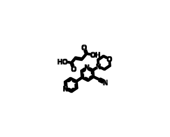 N#Cc1cc(-c2ccncc2)cnc1N1CCOCC1.O=C(O)/C=C/C(=O)O